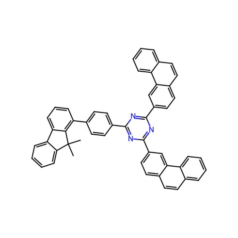 CC1(C)c2ccccc2-c2cccc(-c3ccc(-c4nc(-c5ccc6ccc7ccccc7c6c5)nc(-c5ccc6ccc7ccccc7c6c5)n4)cc3)c21